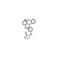 Cc1ccccc1[S+](c1ccc(OC2CCOC2=O)cc1)c1ccccc1C